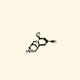 N#Cc1cc2n(c(=O)c1)CC1CNCC2C1